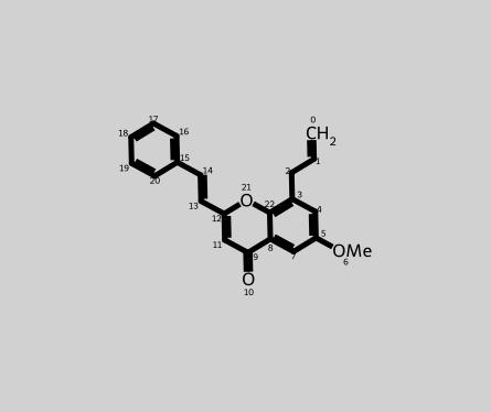 C=CCc1cc(OC)cc2c(=O)cc(C=Cc3ccccc3)oc12